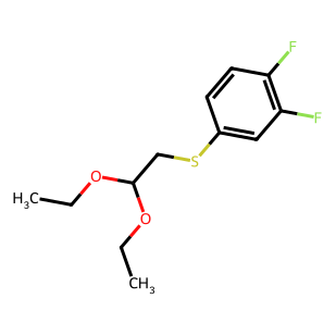 CCOC(CSc1ccc(F)c(F)c1)OCC